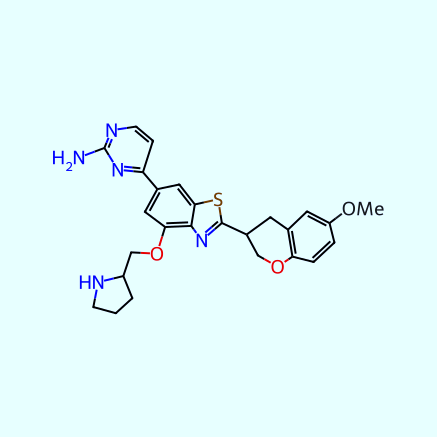 COc1ccc2c(c1)CC(c1nc3c(OCC4CCCN4)cc(-c4ccnc(N)n4)cc3s1)CO2